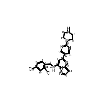 Clc1ccc(CNc2cc(-c3cnc(N4CCNCC4)nc3)nc3ccnn23)c(Cl)c1